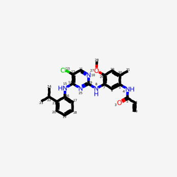 C=CC(=O)Nc1cc(Nc2ncc(Cl)c(Nc3ccccc3C(C)C)n2)c(OC)cc1C